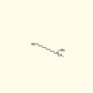 CN(CCCCCCCCCCC(C)(C)C)CC(C)(C)C